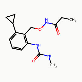 CCC(=O)NOCc1c(NC(=O)NC)cccc1C1CC1